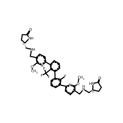 COc1nc(-c2cccc(-c3cccc(-c4ccc(CNC[C@@H]5CCC(=O)N5)c(OC)n4)c3C(F)(F)F)c2F)ccc1CNC[C@@H]1CCC(=O)N1